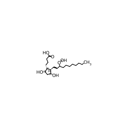 CCCCCCCCC(C=C[C@@H]1[C@@H](CCCC(=O)O)[C@@H](O)C[C@H]1O)OO